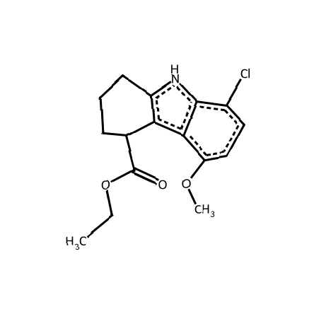 CCOC(=O)C1CCCc2[nH]c3c(Cl)ccc(OC)c3c21